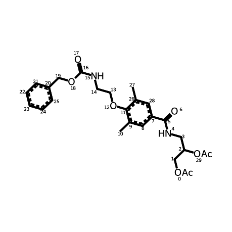 CC(=O)OCC(CNC(=O)c1cc(C)c(OCCNC(=O)OCc2ccccc2)c(C)c1)OC(C)=O